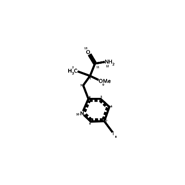 COC(C)(Cc1ccc(I)cn1)C(N)=O